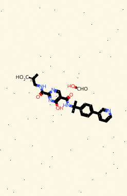 C[C@@H](CNC(=O)c1ncc(C(=O)NC(C)(C)c2ccc(-c3cccnc3)cc2)c(O)n1)C(=O)O.O=CO